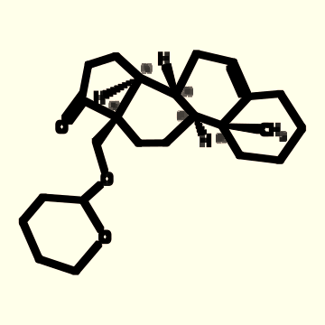 C[C@]12CCCCC1=CC[C@H]1[C@@H]3CCC(=O)[C@@]3(COC3CCCCO3)CC[C@@H]12